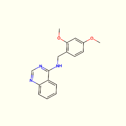 COc1ccc(CNc2ncnc3ccccc23)c(OC)c1